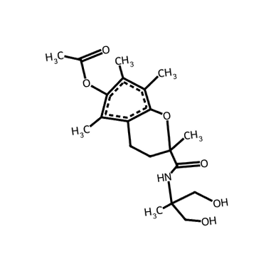 CC(=O)Oc1c(C)c(C)c2c(c1C)CCC(C)(C(=O)NC(C)(CO)CO)O2